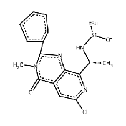 C[C@@H](N[S+]([O-])C(C)(C)C)c1nc(Cl)cc2c(=O)n(C)c(-c3ccccc3)nc12